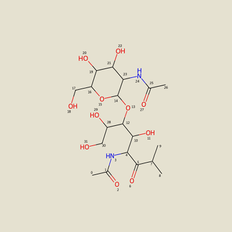 CC(=O)NC(C(=O)C(C)C)C(O)C(OC1OC(CO)C(O)C(O)C1NC(C)=O)C(O)CO